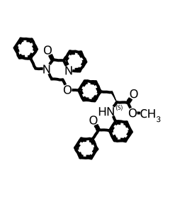 COC(=O)[C@H](Cc1ccc(OCCN(Cc2ccccc2)C(=O)c2ccccn2)cc1)Nc1ccccc1C(=O)c1ccccc1